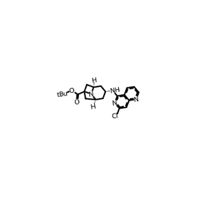 CC(C)(C)OC(=O)C12C[C@H]3C[C@H](Nc4nc(Cl)cc5ncccc45)C[C@@H](C1)N32